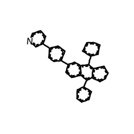 c1ccc(-c2c3ccccc3c(-c3ccccc3)c3cc(-c4ccc(-c5cccnc5)cc4)ccc23)cc1